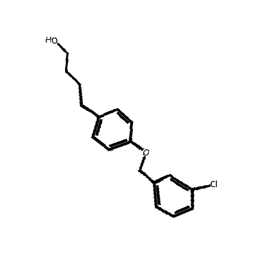 OCCCCc1ccc(OCc2cccc(Cl)c2)cc1